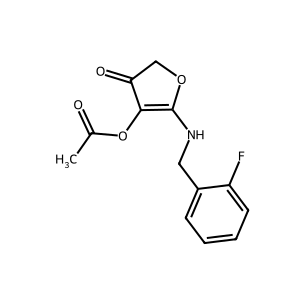 CC(=O)OC1=C(NCc2ccccc2F)OCC1=O